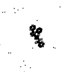 O=C(NC1CC(c2nnc(-c3ccncn3)n2-c2ccccc2Cl)C1)c1ccncn1